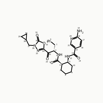 CC(C)C[C@H](NC(=O)[C@@H]1CCCC[C@@H]1NC(=O)c1ccc(N)nc1)C(=O)c1nn(CC2CC2)c(=O)o1